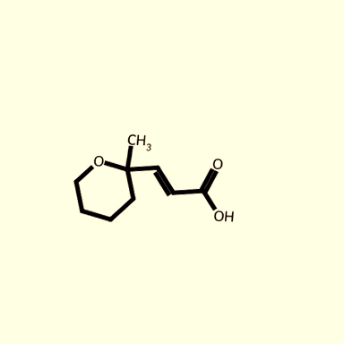 CC1(C=CC(=O)O)CCCCO1